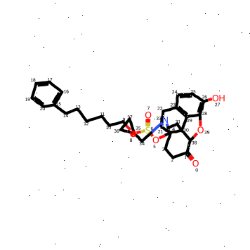 O=C1CCC2(OS(=O)OCCCCCCc3ccccc3)C3Cc4ccc(O)c5c4C2(CCN3CC2CC2)C1O5